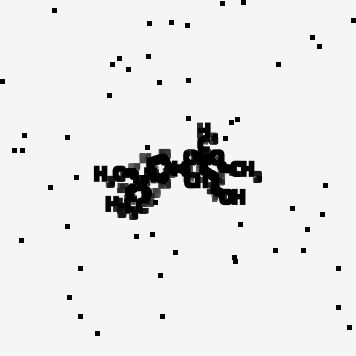 CCO[Si](C)(CCCO)OC(C)N1CCN([Si](CC)(CC)CC)C1